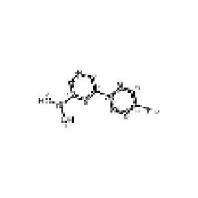 OB(O)c1cncc(-c2ccc(F)cc2)c1